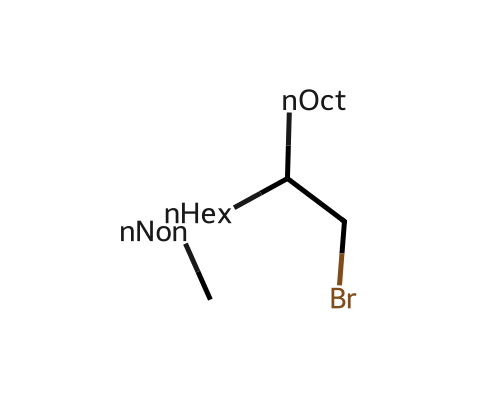 CCCCCCCCC(CBr)CCCCCC.CCCCCCCCCC